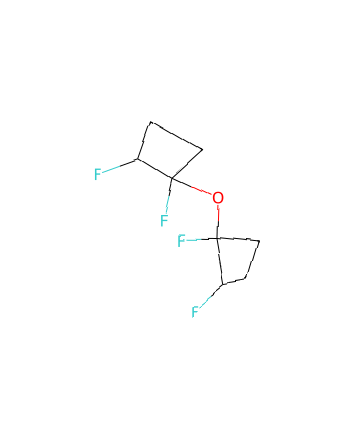 FC1CCC1(F)OC1(F)CCC1F